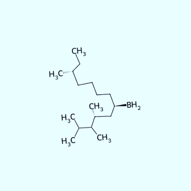 B[C@H](CCCC[C@H](C)CC)C[C@@H](C)C(C)C(C)C